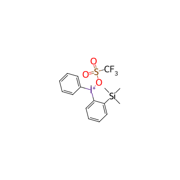 C[Si](C)(C)c1ccccc1[I+](OS(=O)(=O)C(F)(F)F)c1ccccc1